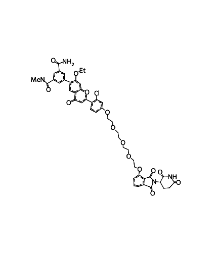 CCOc1cc2oc(-c3ccc(OCCOCCOCCOCCOc4cccc5c4C(=O)N(C4CCC(=O)NC4=O)C5=O)cc3Cl)cc(=O)c2cc1-c1cc(C(N)=O)cc(C(=O)NC)c1